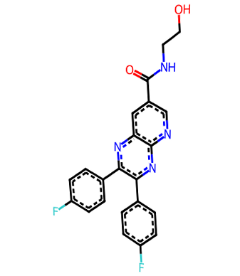 O=C(NCCO)c1cnc2nc(-c3ccc(F)cc3)c(-c3ccc(F)cc3)nc2c1